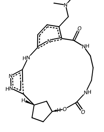 CN(C)Cc1ccc2nc1C(=O)NCCCNC(=O)O[C@@H]1CC[C@@H](C1)c1cc(n[nH]1)N2